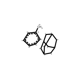 C1C2CC3CC1CC(C2)C3.Cc1ccccc1